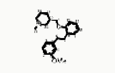 COc1cccc(CCc2ccccc2OC[C@@H]2CCCN(C)C2)c1